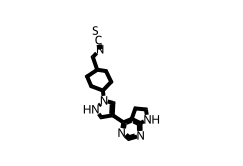 S=C=NCC1CCC(N2C=C(c3ncnc4c3CCN4)CN2)CC1